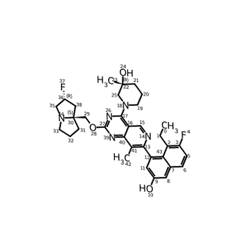 CCc1c(F)ccc2cc(O)cc(-c3ncc4c(N5CCC[C@@](C)(O)C5)nc(OC[C@@]56CCCN5C[C@H](F)C6)nc4c3C)c12